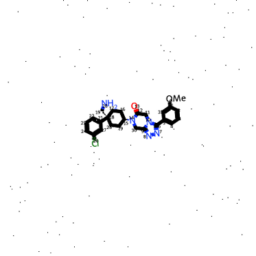 COc1cccc(-c2nnc3n2CC(=O)N([C@H]2CC[C@](CN)(c4cccc(Cl)c4)CC2)C3)c1